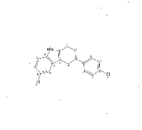 Clc1ccc(C2CCc3[nH]c4ccc(Cl)cc4c3C2)cc1